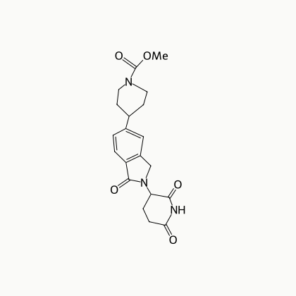 COC(=O)N1CCC(c2ccc3c(c2)CN(C2CCC(=O)NC2=O)C3=O)CC1